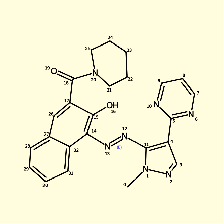 Cn1ncc(-c2ncccn2)c1/N=N/c1c(O)c(C(=O)N2CCCCC2)cc2ccccc12